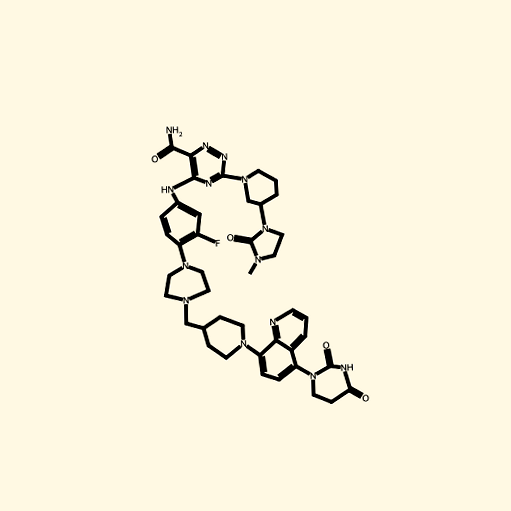 CN1CCN(C2CCCN(c3nnc(C(N)=O)c(Nc4ccc(N5CCN(CC6CCN(c7ccc(N8CCC(=O)NC8=O)c8cccnc78)CC6)CC5)c(F)c4)n3)C2)C1=O